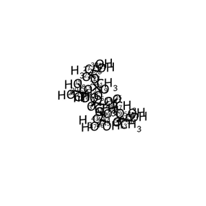 CCCOC(=O)C(C)(COC(=O)C(C)(COC(=O)C(C)(CO)CO)COC(=O)C(C)(CO)CO)COC(=O)C(C)(COC(=O)C(C)(CO)CO)COC(=O)C(C)(CO)CO